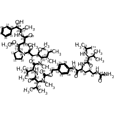 CC[C@H](C)[C@@H]([C@@H](CC(=O)N1CCC[C@H]1[C@H](OC)[C@@H](C)C(=O)N[C@H](C)[C@@H](O)c1ccccc1)OC)N(C)C(=O)[C@@H](NC(=O)[C@H](C(C)C)N(C)C(=O)OCc1ccc(NC(=O)[C@H](CCCNC(N)=O)NC(=O)[C@@H](NC(C)I)C(C)C)cc1)C(C)C